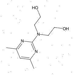 Cc1cc(C)nc(N(CCO)CCO)n1